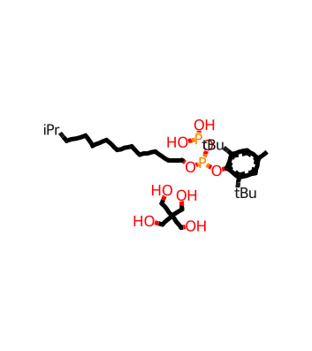 Cc1cc(C(C)(C)C)c(OP(OCCCCCCCCCCC(C)C)OP(O)O)c(C(C)(C)C)c1.OCC(CO)(CO)CO